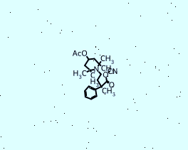 CC(=O)OC1CC(C)(C)N(CCC(C)(C(=O)OC#N)c2ccccc2)C(C)(C)C1